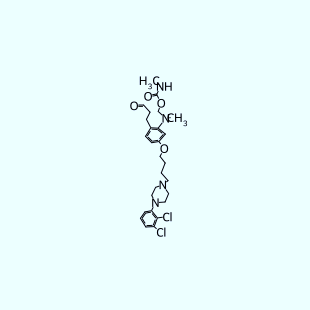 CNC(=O)OCN(C)c1cc(OCCCCN2CCN(c3cccc(Cl)c3Cl)CC2)ccc1CCC=O